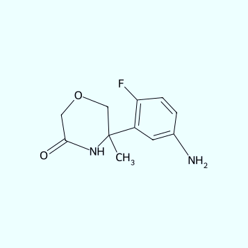 CC1(c2cc(N)ccc2F)COCC(=O)N1